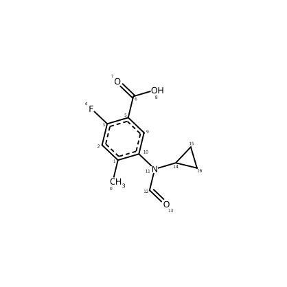 Cc1cc(F)c(C(=O)O)cc1N(C=O)C1CC1